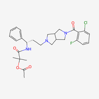 CC(=O)OC(C)(C)C(=O)N[C@@H](CCN1CC2CN(C(=O)c3c(F)cccc3Cl)CC2C1)c1ccccc1